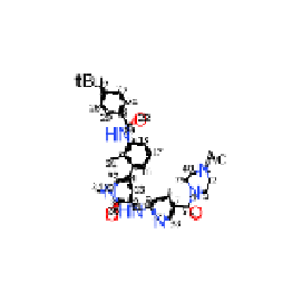 CC(=O)N1CCN(C(=O)c2ccc(Nc3cc(-c4cccc(NC(=O)c5ccc(C(C)(C)C)cc5)c4C)cn(C)c3=O)nc2)CC1